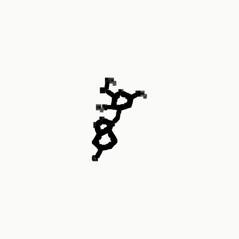 NNc1nc(N)cc(Cn2nnc3cc(Cl)ccc32)c1N